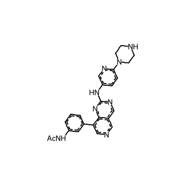 CC(=O)Nc1cccc(-c2cncc3cnc(Nc4ccc(N5CCNCC5)nc4)nc23)c1